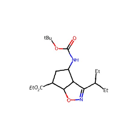 CCOC(=O)C1CC(NC(=O)OC(C)(C)C)C2C(C(CC)CC)=NOC12